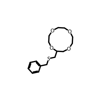 c1ccc(CSCC2COCCOCCOCCO2)cc1